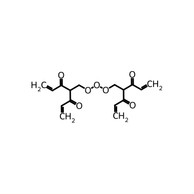 C=CC(=O)C(COOOCC(C(=O)C=C)C(=O)C=C)C(=O)C=C